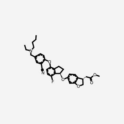 CCCCN(CC)Cc1ccc(Oc2ccc(F)c3c2CC[C@H]3Oc2ccc3c(c2)OC[C@H]3CC(=O)OC)c(C#N)c1